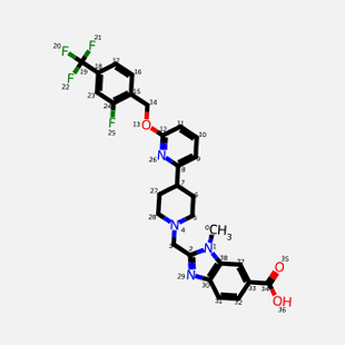 Cn1c(CN2CCC(c3cccc(OCc4ccc(C(F)(F)F)cc4F)n3)CC2)nc2ccc(C(=O)O)cc21